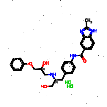 Cc1nc2cc(C(=O)Nc3ccc(C[C@@H](CO)NC[C@H](O)COc4ccccc4)cc3)ccc2[nH]1.Cl.Cl